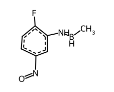 CBNc1cc(N=O)ccc1F